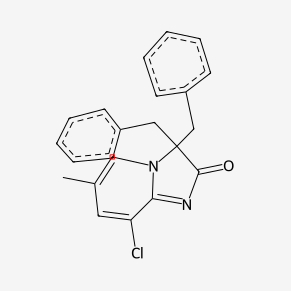 CC1=CN2C(=NC(=O)C2(Cc2ccccc2)Cc2ccccc2)C(Cl)=C1